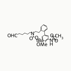 COc1ccc(-c2ccccc2CCN(CCCCCC=O)C(=O)OC(C)(C)C)cc1NS(C)(=O)=O